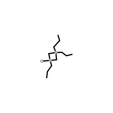 CCC[Si]1(Cl)C[Si](CCC)(CCC)C1